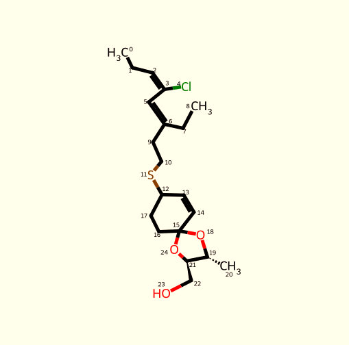 CC/C=C(Cl)\C=C(/CC)CCSC1C=CC2(CC1)O[C@H](C)[C@@H](CO)O2